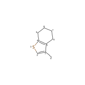 Cc1csc2c1CCCC2